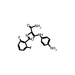 NC(=O)c1nc(-c2c(F)cccc2F)oc1Nc1ccc(N)cc1